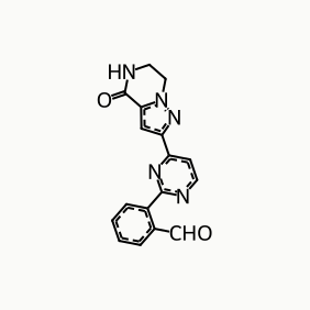 O=Cc1ccccc1-c1nccc(-c2cc3n(n2)CCNC3=O)n1